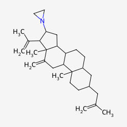 C=C(C)CC1CCC2(C)C(CCC3C2CC(=C)C2(C)C3CC(N3CC3)C2C(=C)C)C1